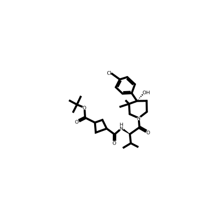 CC(C)[C@@H](NC(=O)C1CC(C(=O)OC(C)(C)C)C1)C(=O)N1CC[C@](O)(c2ccc(Cl)cc2)C(C)(C)C1